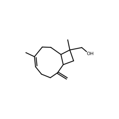 C=C1CC/C=C(/C)CCC2C1CC2(C)CO